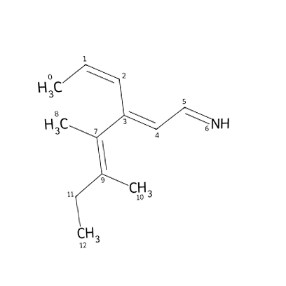 C\C=C/C(=C\C=N)C(/C)=C(\C)CC